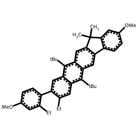 CCc1cc(OC)ccc1-c1cc2c(C(C)(C)C)c3cc4c(cc3c(C(C)(C)C)c2cc1CC)-c1ccc(OC)cc1C4(C)C